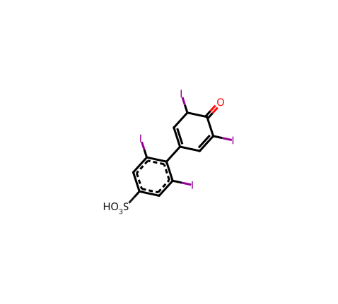 O=C1C(I)=CC(c2c(I)cc(S(=O)(=O)O)cc2I)=CC1I